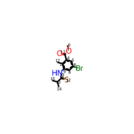 COC(=O)c1cc(Br)cc(NC(=S)C(C)C)c1C